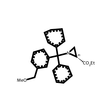 CCOC(=O)[C@H]1CN1C(c1ccccc1)(c1ccccc1)c1cccc(COC)c1